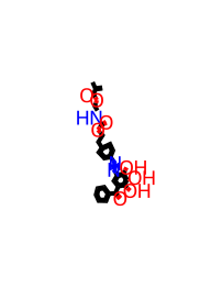 C=C(C)C(=O)OCCNC(=O)OCCc1ccc(N=Nc2cc(C(=O)c3ccccc3)c(O)c(O)c2O)cc1